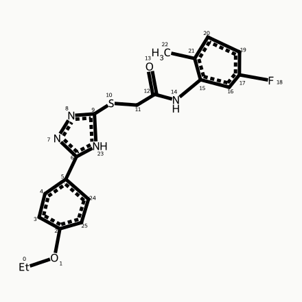 CCOc1ccc(-c2nnc(SCC(=O)Nc3cc(F)ccc3C)[nH]2)cc1